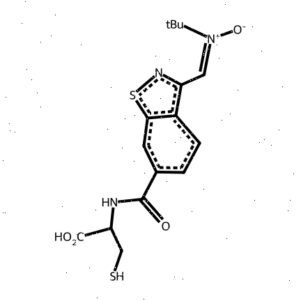 CC(C)(C)/[N+]([O-])=C\c1nsc2cc(C(=O)NC(CS)C(=O)O)ccc12